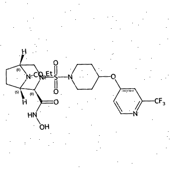 CCOC(=O)N1[C@@H]2CC[C@H]1[C@H](C(=O)NO)N(S(=O)(=O)N1CCC(Oc3ccnc(C(F)(F)F)c3)CC1)C2